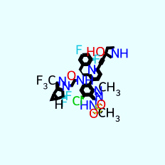 Cn1nc(NS(C)(=O)=O)c2c(Cl)ccc(-c3ccc(C#CC4(O)CCNC4)nc3[C@H](Cc3cc(F)cc(F)c3)NC(=O)Cn3nc(C(F)(F)F)c4c3C(F)(F)[C@@H]3CC43)c21